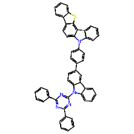 c1ccc(-c2nc(-c3ccccc3)nc(-n3c4ccccc4c4cc(-c5ccc(-n6c7ccccc7c7c8sc9ccccc9c8ccc76)cc5)ccc43)n2)cc1